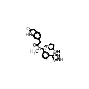 CN(C(=O)Cc1ccc2c(c1)NC(=O)C2)[C@H](CN1CCC(O)C1)c1cccc(-c2nn[nH]n2)c1